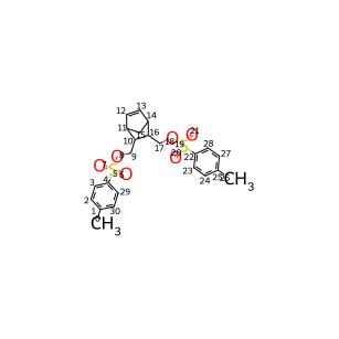 Cc1ccc(S(=O)(=O)OCC2C3C=CC(C3)C2COS(=O)(=O)c2ccc(C)cc2)cc1